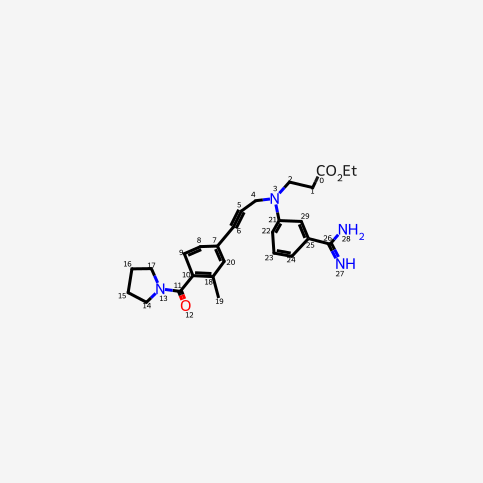 CCOC(=O)CCN(CC#Cc1ccc(C(=O)N2CCCC2)c(C)c1)c1cccc(C(=N)N)c1